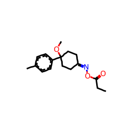 CCC(=O)ON=C1CCC(OC)(c2ccc(C)cc2)CC1